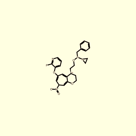 O=[N+]([O-])C1C=C(Oc2cccnc2F)C=C2C(=C1)OCC[C@@H]2CCOP(Cc1ccccc1)N1CC1